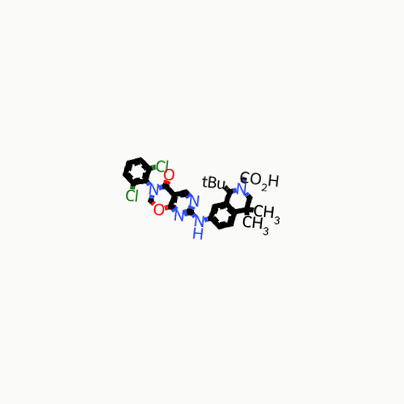 CC1(C)CN(C(=O)O)C(C(C)(C)C)c2cc(Nc3ncc4c(n3)OCN(c3c(Cl)cccc3Cl)C4=O)ccc21